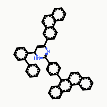 C1=C(c2ccc3c(ccc4ccccc43)c2)N=C(c2ccc(-c3c4ccccc4cc4c3ccc3ccccc34)cc2)NC1c1ccccc1-c1ccccc1